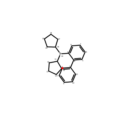 c1ccc(-c2ccccc2P(C2CCCC2)C2CCCC2)cc1